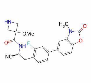 COC1(C(=O)N[C@H](C#N)Cc2ccc(-c3ccc4oc(=O)n(C)c4c3)cc2F)CNC1